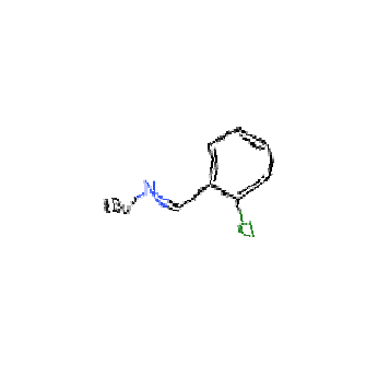 CC(C)(C)N=Cc1ccccc1Cl